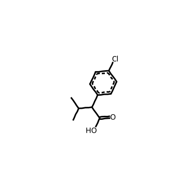 CC(C)C(C(=O)O)c1ccc(Cl)cc1